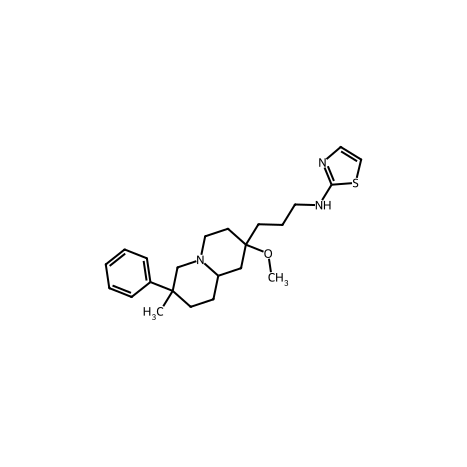 COC1(CCCNc2nccs2)CCN2CC(C)(c3ccccc3)CCC2C1